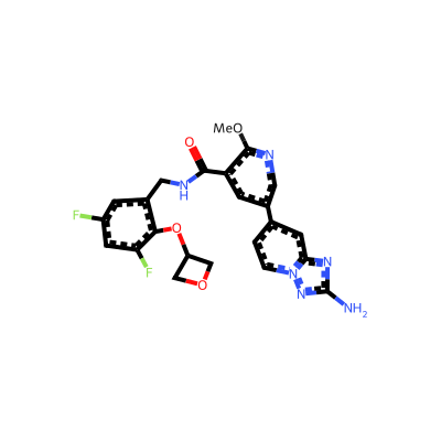 COc1ncc(-c2ccn3nc(N)nc3c2)cc1C(=O)NCc1cc(F)cc(F)c1OC1COC1